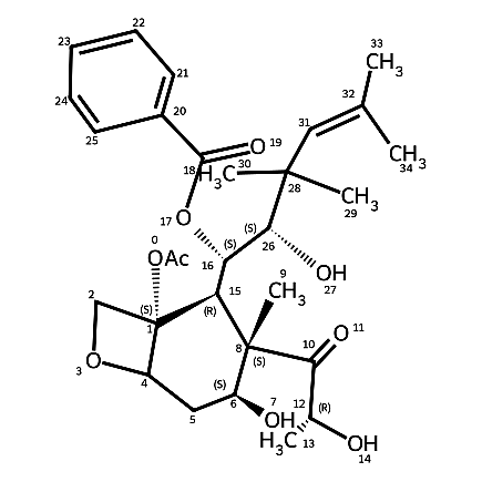 CC(=O)O[C@@]12COC1C[C@H](O)[C@@](C)(C(=O)[C@@H](C)O)[C@@H]2[C@H](OC(=O)c1ccccc1)[C@@H](O)C(C)(C)C=C(C)C